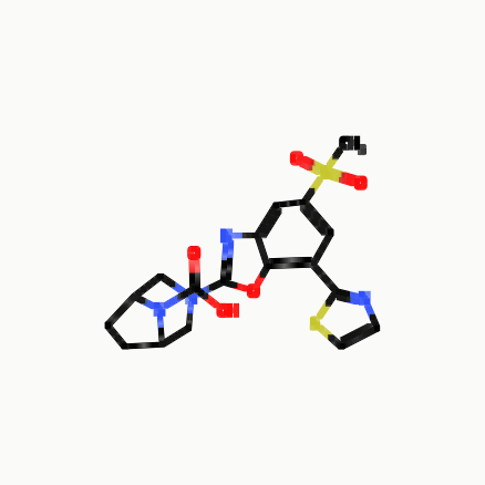 CS(=O)(=O)c1cc(-c2nccs2)c2oc(N3CC4CCC(C3)N4C(=O)O)nc2c1